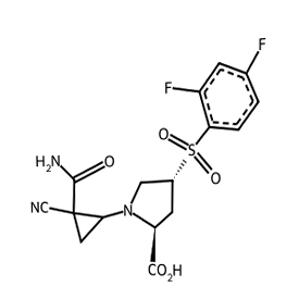 N#CC1(C(N)=O)CC1N1C[C@H](S(=O)(=O)c2ccc(F)cc2F)C[C@H]1C(=O)O